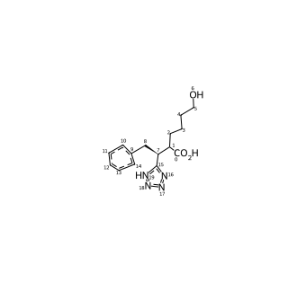 O=C(O)C(CCCCO)[C@H](Cc1ccccc1)c1nnn[nH]1